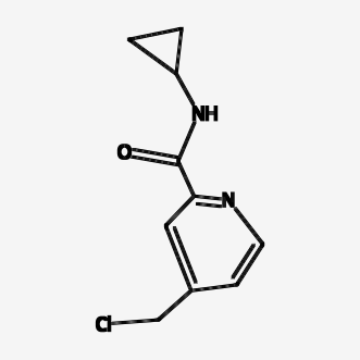 O=C(NC1CC1)c1cc(CCl)ccn1